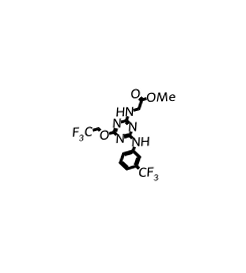 COC(=O)CNc1nc(Nc2cccc(C(F)(F)F)c2)nc(OCC(F)(F)F)n1